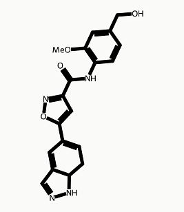 COc1cc(CO)ccc1NC(=O)c1cc(C2=CCC3NN=CC3=C2)on1